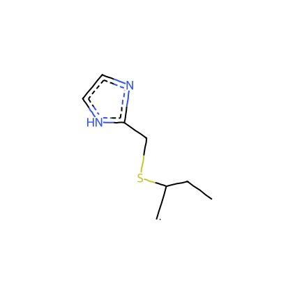 [CH2]C(CC)SCc1ncc[nH]1